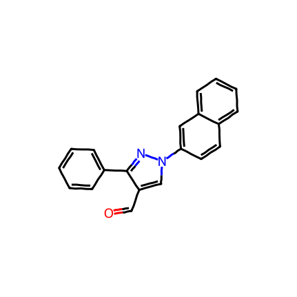 O=Cc1cn(-c2ccc3ccccc3c2)nc1-c1ccccc1